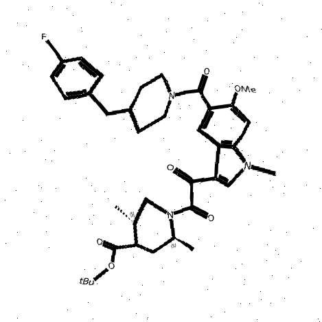 COc1cc2c(cc1C(=O)N1CCC(Cc3ccc(F)cc3)CC1)c(C(=O)C(=O)N1C[C@@H](C)C(C(=O)OC(C)(C)C)C[C@@H]1C)cn2C